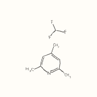 Cc1cc(C)nc(C)c1.FC(F)F